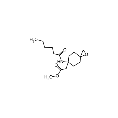 CCCCCC(=O)NC1(CC(=O)OC)CCC2(CC1)CO2